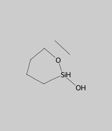 CC.O[SiH]1CCCCO1